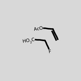 C=COC(C)=O.O=C(O)CF